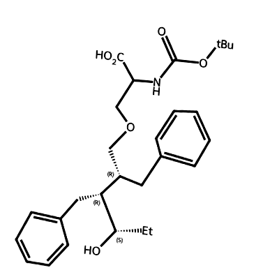 CC[C@H](O)[C@H](Cc1ccccc1)[C@H](COCC(NC(=O)OC(C)(C)C)C(=O)O)Cc1ccccc1